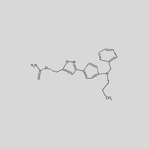 CCCN(Cc1ccccc1)c1ccc(-c2cc(COC(N)=O)on2)cc1